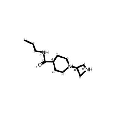 CCCNC(=O)C1CCN(C2CNC2)CC1